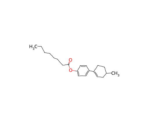 CCCCCCCC(=O)Oc1ccc(C2=CCC(C)CC2)cc1